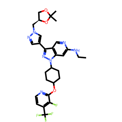 CCNc1cc2c(cn1)c(-c1cnn(C[C@H]3COC(C)(C)O3)c1)nn2C1CCC(Oc2nccc(C(F)(F)F)c2F)CC1